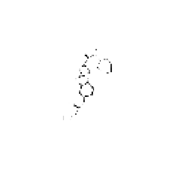 CN(C(=O)c1cn2c(nc3cc(NC(=O)CN)ccc32)s1)C1CCCCC1